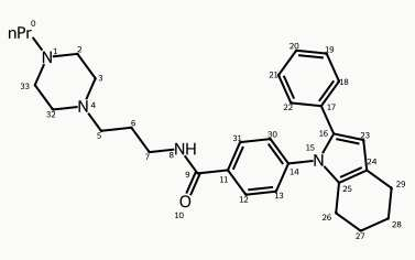 CCCN1CCN(CCCNC(=O)c2ccc(-n3c(-c4ccccc4)cc4c3CCCC4)cc2)CC1